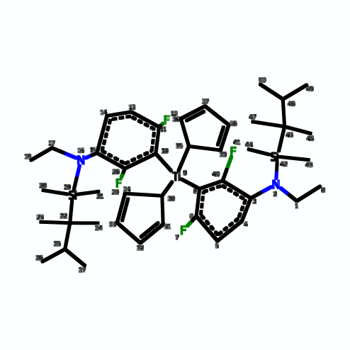 CCN(c1ccc(F)[c]([Ti]([c]2c(F)ccc(N(CC)[Si](C)(C)C(C)(C)C(C)C)c2F)([CH]2C=CC=C2)[CH]2C=CC=C2)c1F)[Si](C)(C)C(C)(C)C(C)C